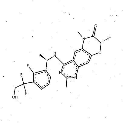 Cc1nc(N[C@H](C)c2cccc(C(F)(F)CO)c2F)c2cc3c(cc2n1)O[C@@H](C)C(=O)N3C